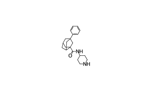 O=C(NC1CCNCC1)C12CC3CC1CC(c1ccccc1)(C3)C2